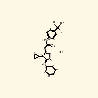 Cl.O=C(CC1CSC(=NC2CCCCC2)N1C1CC1)Nc1ccc(C(F)(F)F)cc1